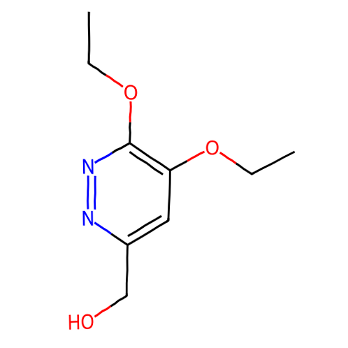 CCOc1cc(CO)nnc1OCC